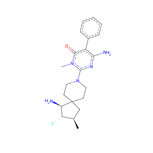 C[C@@H]1CC2(CCN(c3nc(N)c(-c4ccccc4)c(=O)n3C)CC2)[C@H](N)[C@H]1F